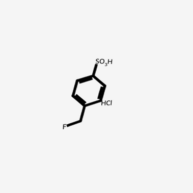 Cl.O=S(=O)(O)c1ccc(CF)cc1